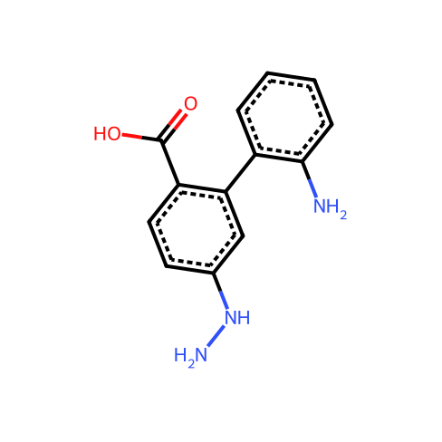 NNc1ccc(C(=O)O)c(-c2ccccc2N)c1